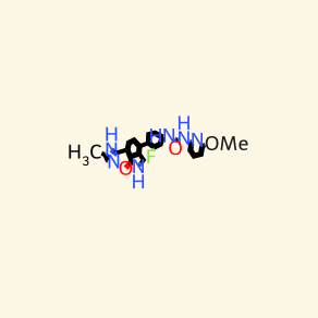 COc1cccc(NC(=O)Nc2ccc(-c3ccc(-c4ncc(C)[nH]4)c4c3CNC4=O)c(F)c2)n1